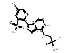 CCS(=O)(=O)c1cc(Br)cnc1-c1ncc2c(OCC(F)(F)C(F)(F)F)nccn12